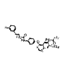 CCCC(=O)Nc1cc2c(Oc3ccc(NC(=O)NCCc4cccc(F)c4)cc3)ncnc2cc1OC